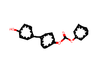 O=C(Oc1ccccc1)Oc1ccc(-c2ccc(O)cc2)cc1